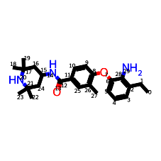 CCc1cccc(Oc2ccc(C(=O)NC3CC(C)(C)NC(C)(C)C3)cc2C)c1N